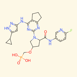 O=C(Nc1ccc(F)nc1)C1CC(OCP(=O)(O)O)CN1c1nc2c(c(Nc3cc(C4CC4)[nH]n3)n1)CCC2